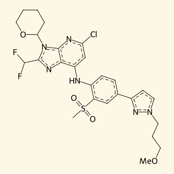 COCCCn1ccc(-c2ccc(Nc3cc(Cl)nc4c3nc(C(F)F)n4C3CCCCO3)c(S(C)(=O)=O)c2)n1